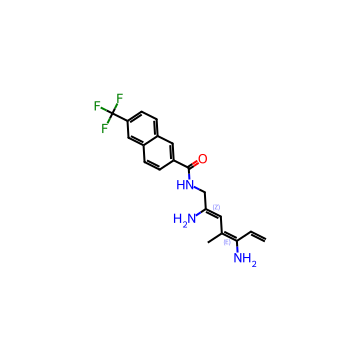 C=C/C(N)=C(C)\C=C(/N)CNC(=O)c1ccc2cc(C(F)(F)F)ccc2c1